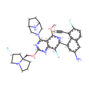 C#Cc1c(F)ccc2cc(N)cc(-c3nc(OC(C)C)c4c(N5CC6CCC(C5)N6)nc(OC[C@@]56CCCN5C[C@H](F)C6)nc4c3F)c12